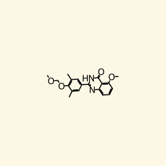 COCOc1c(C)cc(-c2nc3cccc(OC)c3c(=O)[nH]2)cc1C